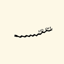 C#CCCCCCCCCCCCC(O)CC(O)CI